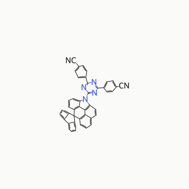 N#Cc1ccc(-c2nc(-c3ccc(C#N)cc3)nc(-n3c4cccc5c4c4c6c(cccc6ccc43)C53c4ccccc4-c4ccccc43)n2)cc1